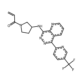 C=CC(=O)N1CCC(Nc2nnc(-c3ccc(C(F)(F)F)cn3)c3cccnc23)C1